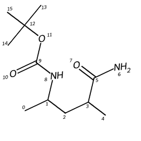 CC(CC(C)C(N)=O)NC(=O)OC(C)(C)C